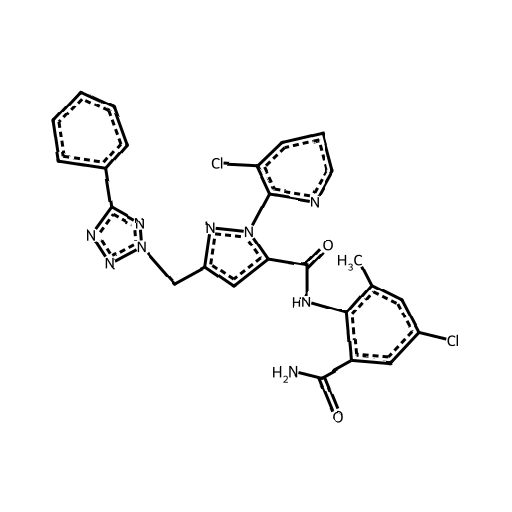 Cc1cc(Cl)cc(C(N)=O)c1NC(=O)c1cc(Cn2nnc(-c3ccccc3)n2)nn1-c1ncccc1Cl